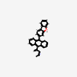 C=C(/C=C\C)c1c2ccccc2c(-c2ccc3c(c2)oc2ccccc23)c2ccccc12